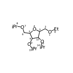 CCOCC1OC(COC(C)C)C(OC(C)C)C1OC(C)C